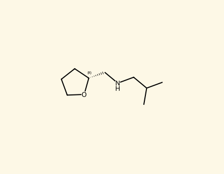 CC(C)CNC[C@H]1CCCO1